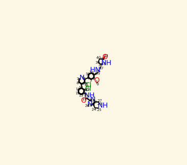 COc1cc(-c2nccc(-c3cccc(NC(=O)c4nc5c(n4C)CCNC5)c3Cl)c2Cl)ccc1CNC[C@H]1CCC(=O)N1